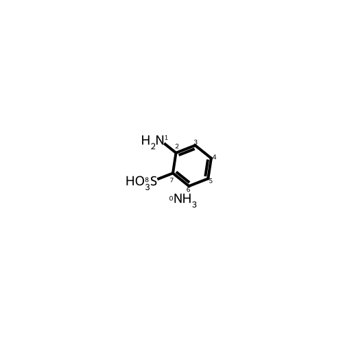 N.Nc1ccccc1S(=O)(=O)O